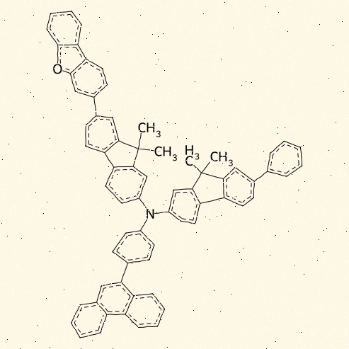 CC1(C)c2cc(-c3ccccc3)ccc2-c2ccc(N(c3ccc(-c4cc5ccccc5c5ccccc45)cc3)c3ccc4c(c3)C(C)(C)c3cc(-c5ccc6c(c5)oc5ccccc56)ccc3-4)cc21